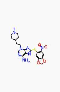 Nc1ncn(CCC2CCNCC2)c2nc(Sc3cc4c(cc3[N+](=O)[O-])OCO4)nc1-2